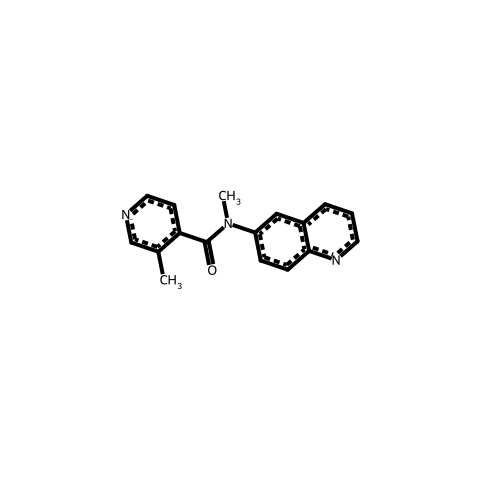 Cc1cnccc1C(=O)N(C)c1ccc2ncccc2c1